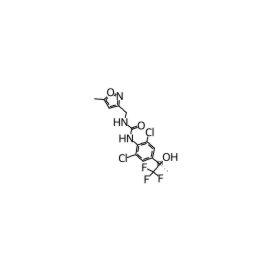 Cc1cc(CNC(=O)Nc2c(Cl)cc([C@@](C)(O)C(F)(F)F)cc2Cl)no1